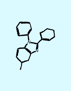 CC1C=Cc2c(nc(C3=CCCCC3)n2-c2ccccc2)C1